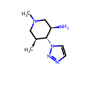 C[C@H]1CN(C)C[C@@H](N)[C@@H]1n1ccnn1